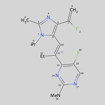 C=C(F)c1nc(C)n(C(C)C)c1/C=C(\CC)c1nc(NC)ncc1F